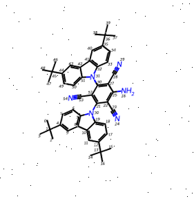 CC(C)(C)c1ccc2c(c1)c1cc(C(C)(C)C)ccc1n2-c1c(C#N)c(N)c(C#N)c(-n2c3ccc(C(C)(C)C)cc3c3cc(C(C)(C)C)ccc32)c1C#N